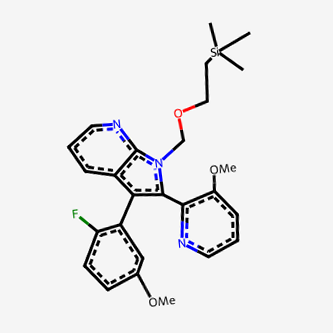 COc1ccc(F)c(-c2c(-c3ncccc3OC)n(COCC[Si](C)(C)C)c3ncccc23)c1